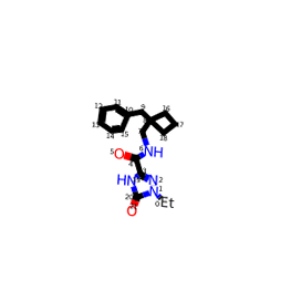 CCn1nc(C(=O)NCC2(Cc3ccccc3)CCC2)[nH]c1=O